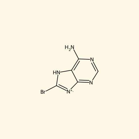 Nc1ncnc2c1NC(Br)=[N+]2